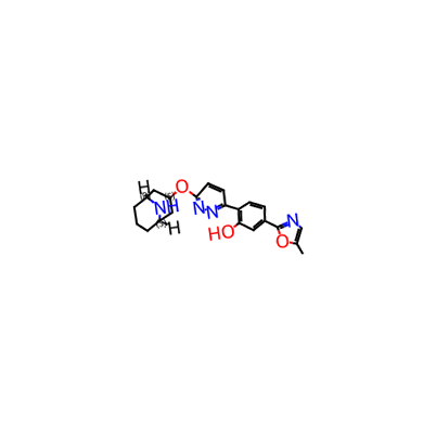 Cc1cnc(-c2ccc(-c3ccc(O[C@@H]4C[C@H]5CCC[C@@H](C4)N5)nn3)c(O)c2)o1